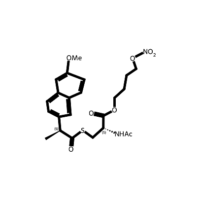 COc1ccc2cc([C@H](C)C(=O)SC[C@@H](NC(C)=O)C(=O)OCCCCO[N+](=O)[O-])ccc2c1